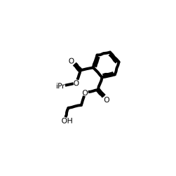 CC(C)OC(=O)c1ccccc1C(=O)OCCO